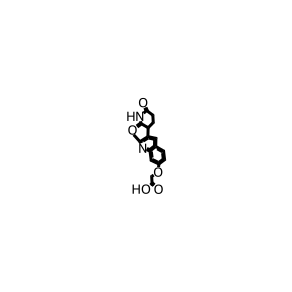 Cc1nc2cc(OCC(=O)O)ccc2cc1C1CCC(=O)NC1=O